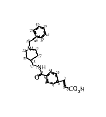 O=C(O)C=Cc1ccc(C(=O)NCC2CCN(Cc3ccccc3)CC2)cc1